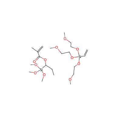 C=C(C)C(=O)OC(CC)[Si](OC)(OC)OC.C=C[Si](OCCOC)(OCCOC)OCCOC